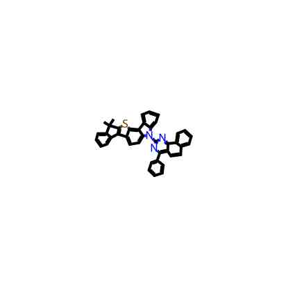 CC1(C)c2ccccc2-c2c1sc1c2ccc2c1c1ccccc1n2-c1nc(-c2ccccc2)c2ccc3ccccc3c2n1